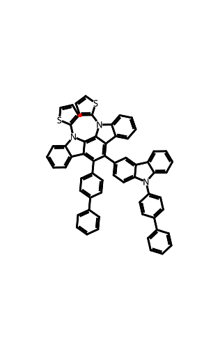 c1ccc(-c2ccc(-c3c(-c4ccc5c(c4)c4ccccc4n5-c4ccc(-c5ccccc5)cc4)c4c5ccccc5n(-c5cccs5)c4c4c3c3ccccc3n4-c3cccs3)cc2)cc1